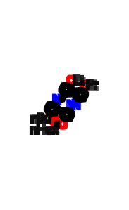 CCCCCCC(=O)Oc1ccc(N=Nc2ccc(OCC)cc2)cc1.CCCCc1ccc(N=Cc2ccc(OCC)cc2)cc1